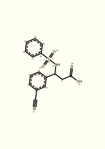 N#Cc1cccc(C(CC(=O)O)NS(=O)(=O)c2ccccc2)c1